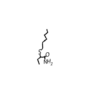 CCCCCCSC(CC)C(N)=O